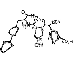 CC(C)(C)C(C(=O)N1C[C@H](O)C[C@H]1C(=O)NC(Cc1ccc(-c2ccccc2)cc1)C(N)=O)n1cc(C(=O)O)nn1